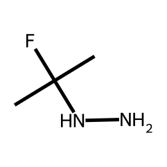 CC(C)(F)NN